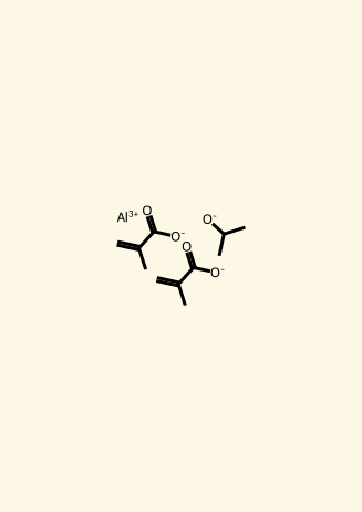 C=C(C)C(=O)[O-].C=C(C)C(=O)[O-].CC(C)[O-].[Al+3]